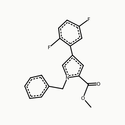 COC(=O)c1cc(-c2cc(F)ccc2F)cn1Cc1ccccc1